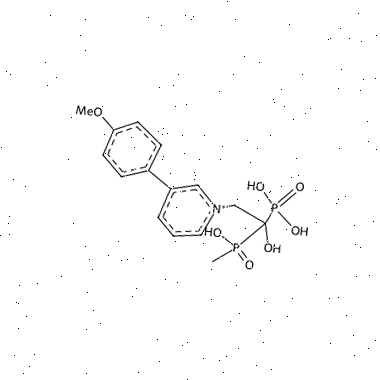 COc1ccc(-c2ccc[n+](CC(O)(P(C)(=O)O)P(=O)(O)O)c2)cc1